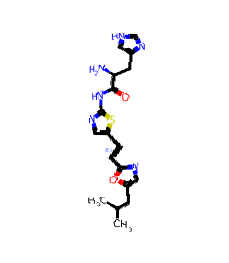 CC(C)Cc1cnc(/C=C/c2cnc(NC(=O)C(N)Cc3c[nH]cn3)s2)o1